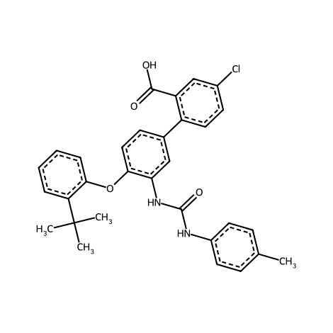 Cc1ccc(NC(=O)Nc2cc(-c3ccc(Cl)cc3C(=O)O)ccc2Oc2ccccc2C(C)(C)C)cc1